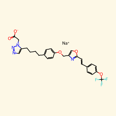 O=C([O-])Cn1nncc1CCCCc1ccc(OCc2coc(C=Cc3ccc(OC(F)(F)F)cc3)n2)cc1.[Na+]